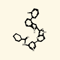 O=C(Nc1cncc(-c2ccc3[nH]nc(-c4cc5c(-c6ccccc6F)cccc5[nH]4)c3n2)c1)C1CCCCC1